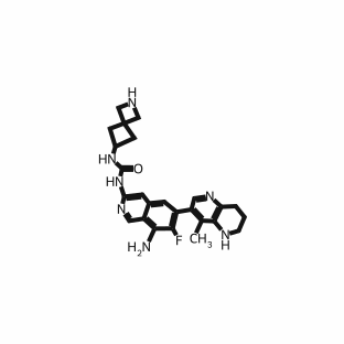 Cc1c(-c2cc3cc(NC(=O)NC4CC5(CNC5)C4)ncc3c(N)c2F)cnc2c1NCCC2